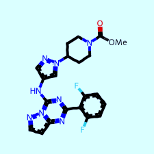 COC(=O)N1CCC(n2cc(Nc3nc(-c4c(F)cccc4F)nc4ccnn34)cn2)CC1